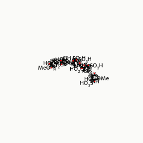 COC[C@@]1(C)OC(C)(C)[C@@](C)(COC[C@]2(C)OC(C)(C(=O)O)[C@@](C)(COC[C@@]3(C)OC(C)(C)[C@@](C)(COC[C@]4(C)OC(C)(C(=O)O)[C@@](C)(COC[C@@]5(C)OC(C)(C)[C@@](C)(COC)[C@@](C)(O)C5(C)NC(C)=O)[C@@](C)(O)C4(C)O)[C@@](C)(OS(=O)(=O)O)C3(C)NS(=O)(=O)O)[C@@](C)(O)C2(C)OS(=O)(=O)O)[C@@](C)(O)C1(C)NS(=O)(=O)O